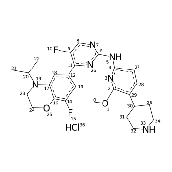 COc1nc(Nc2ncc(F)c(-c3cc(F)c4c(c3)N(C(C)C)CCO4)n2)ccc1C1CCNCC1.Cl